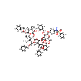 CC1C(O)[C@@H](OC2C(C)[C@H](C)[C@H](COCc3ccccc3)O[C@@H]2OC2C(C)[C@H](C)[C@H](COCc3ccccc3)O[C@@H]2OC2[C@@H]3OC(c4ccccc4)OCC3O[C@@H](OC3CCC(NS(=O)(=O)c4ccccc4)CC3)[C@@H]2OCc2ccccc2)O[C@@H](COCc2ccccc2)[C@H]1C